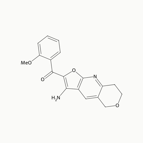 COc1ccccc1C(=O)c1oc2nc3c(cc2c1N)COCC3